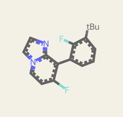 CC(C)(C)c1cccc(-c2c(F)ccn3ccnc23)c1F